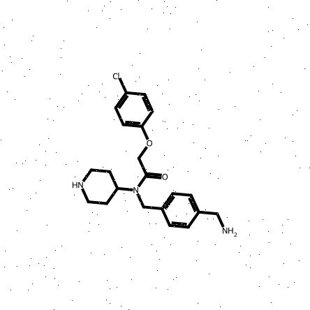 NCc1ccc(CN(C(=O)COc2ccc(Cl)cc2)C2CCNCC2)cc1